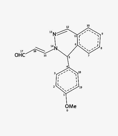 COc1ccc(C2c3ccccc3C=NN2C=CC=O)cc1